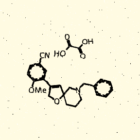 COc1ccc(C#N)cc1C1=CC2(CCCN(Cc3ccccc3)C2)OC1.O=C(O)C(=O)O